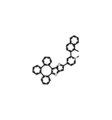 Cc1c(-c2cc(-c3cc4oc5c(c4o3)-c3ccccc3-c3ccccc3-c3ccccc3-5)cc[n+]2C)ccc2ccccc12